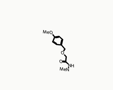 CNNC(=O)COCc1ccc(OC)cc1